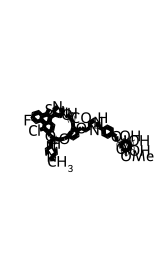 CO[C@H]1O[C@H](COc2ccc(-c3nccc(COc4ccc5cc4C[C@H](C(=O)O)Oc4ncnc6sc7c8ccc(F)cc8c8c(Cl)c(ccc8c7c46)O[C@H](CN4CCN(C)CC4)CO5)n3)cc2)[C@@H](O)[C@H](O)[C@@H]1O